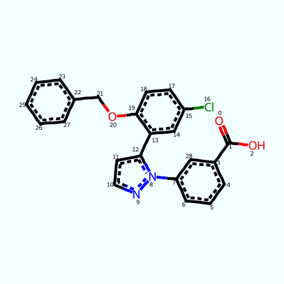 O=C(O)c1cccc(-n2nccc2-c2cc(Cl)ccc2OCc2ccccc2)c1